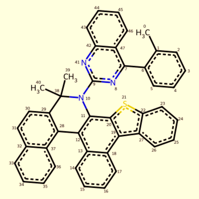 Cc1ccccc1-c1nc(N2c3c(c4ccccc4c4c3sc3ccccc34)-c3c(ccc4ccccc34)C2(C)C)nc2ccccc12